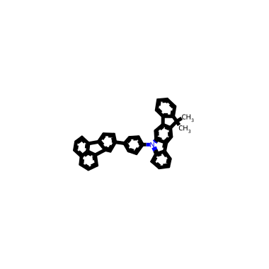 CC1(C)c2ccccc2-c2cc3c(cc21)c1ccccc1n3-c1ccc(-c2ccc3c(c2)-c2cccc4cccc-3c24)cc1